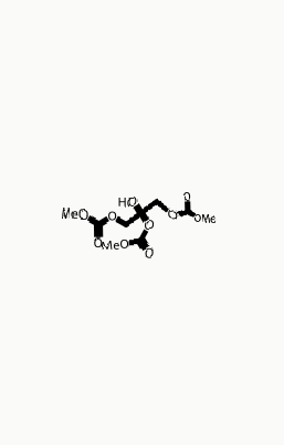 COC(=O)OCC(O)(COC(=O)OC)OC(=O)OC